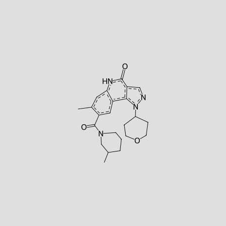 Cc1cc2[nH]c(=O)c3cnn(C4CCOCC4)c3c2cc1C(=O)N1CCCC(C)C1